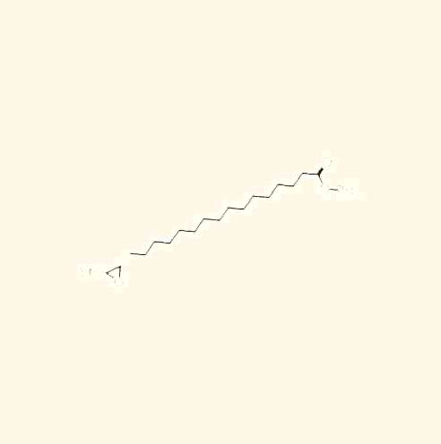 CC[C@H]1O[C@H]1CCCCCCCCCCCCCCCC(=O)OP